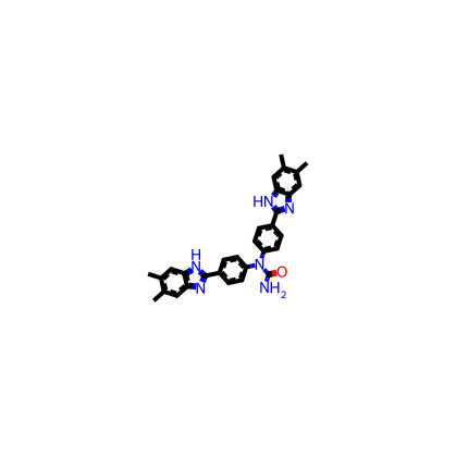 Cc1cc2nc(-c3ccc(N(C(N)=O)c4ccc(-c5nc6cc(C)c(C)cc6[nH]5)cc4)cc3)[nH]c2cc1C